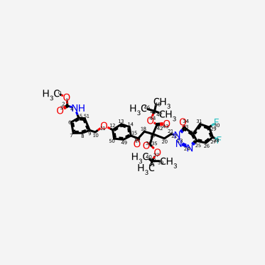 COC(=O)Nc1cccc(COc2ccc(C(=O)CC(CCn3nnc4cc(F)c(F)cc4c3=O)(C(=O)OC(C)(C)C)C(=O)OC(C)(C)C)cc2)c1